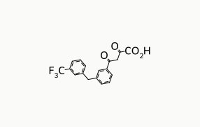 O=C(O)C(=O)CC(=O)c1cccc(Cc2cccc(C(F)(F)F)c2)c1